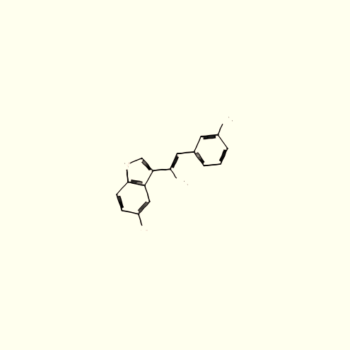 N#C/C(=C\c1cccc(C#N)c1)c1c[nH]c2ccc(O)cc12